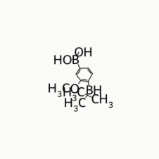 COc1cc(B(O)O)ccc1BC(C)(C)C